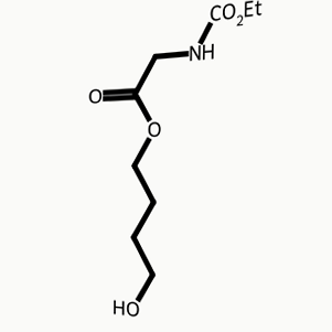 CCOC(=O)NCC(=O)OCCCCO